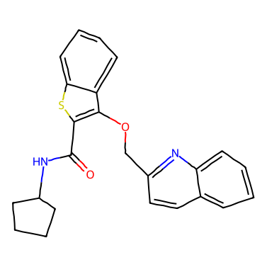 O=C(NC1CCCC1)c1sc2ccccc2c1OCc1ccc2ccccc2n1